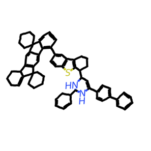 C1=CCC(C2NC(c3ccc(-c4ccccc4)cc3)=CC(C3CCCc4c3sc3ccc(-c5cccc6c5-c5cc7c(cc5C65CCCCC5)C5CCCC=C5C75CCCCC5)cc43)N2)C=C1